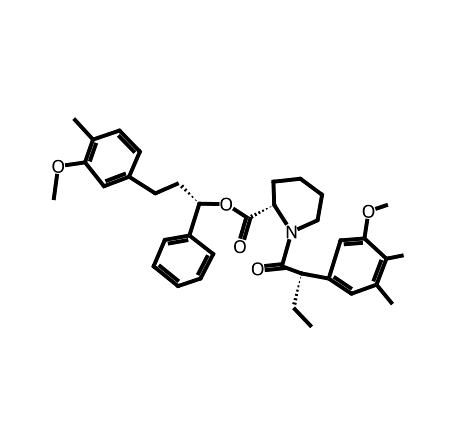 CC[C@H](C(=O)N1CCCC[C@H]1C(=O)O[C@@H](CCc1ccc(C)c(OC)c1)c1ccccc1)c1cc(C)c(C)c(OC)c1